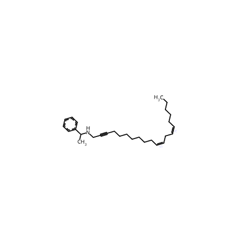 CCCCC/C=C\C/C=C\CCCCCCCC#CCNC(C)c1ccccc1